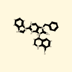 O=c1n(Cc2ccccc2)c2cnc(-n3cnc4ccccc43)nc2n1[C@@H]1CCOc2c(F)cccc21